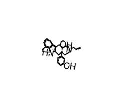 C=CCN1CCC2(c3cccc(O)c3)Cc3[nH]c4c(C)cccc4c3CC2(O)C1